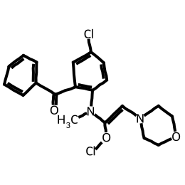 CN(C(=CN1CCOCC1)OCl)c1ccc(Cl)cc1C(=O)c1ccccc1